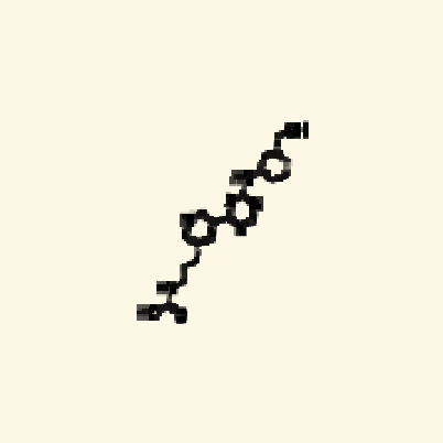 O=C(O)NCCCc1cncc(-c2ncnc(Nc3cccc(CO)c3)n2)c1